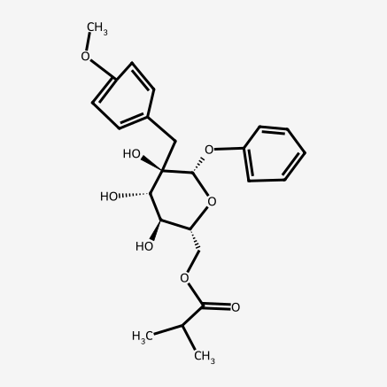 COc1ccc(C[C@]2(O)[C@H](Oc3ccccc3)O[C@H](COC(=O)C(C)C)[C@@H](O)[C@@H]2O)cc1